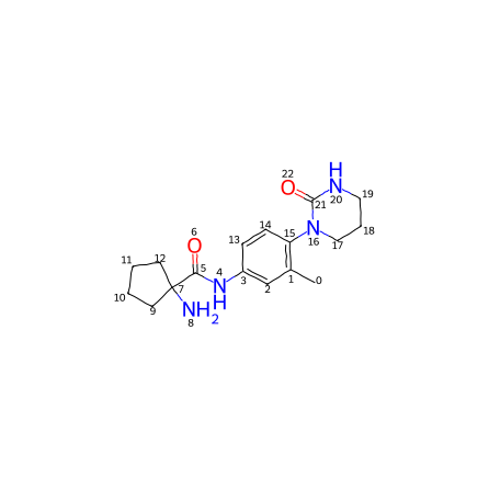 Cc1cc(NC(=O)C2(N)CCCC2)ccc1N1CCCNC1=O